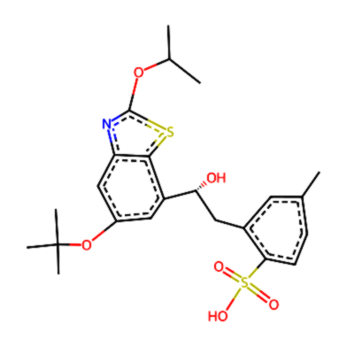 Cc1ccc(S(=O)(=O)O)c(C[C@@H](O)c2cc(OC(C)(C)C)cc3nc(OC(C)C)sc23)c1